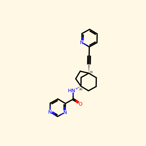 O=C(N[C@]12CCC[C@](C#Cc3ccccn3)(CC1)C2)c1ccncn1